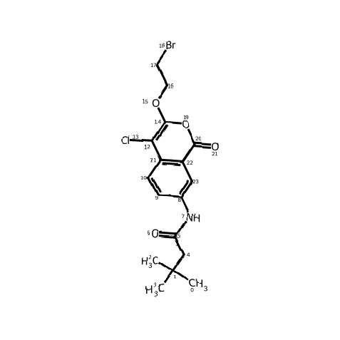 CC(C)(C)CC(=O)Nc1ccc2c(Cl)c(OCCBr)oc(=O)c2c1